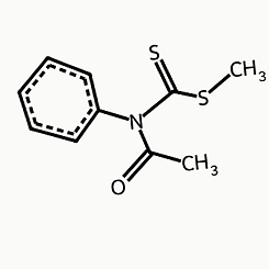 CSC(=S)N(C(C)=O)c1ccccc1